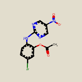 CC(=O)Oc1cc(Br)ccc1Nc1ncc([N+](=O)[O-])cn1